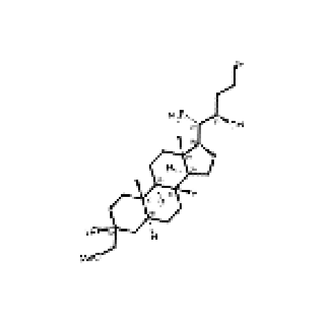 COC[C@]1(O)CC[C@@]2(C)[C@@H](CC[C@@H]3[C@@H]2CC[C@]2(C)[C@@H]([C@H](P)[C@H](O)CCC(C)C)CC[C@@H]32)C1